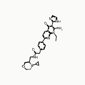 CCn1c(N)c(-c2ncc[nH]2)c(=O)c2ccc(-c3ccc(CC(=O)NCC4COCCN4C4CC4)cc3)nc21